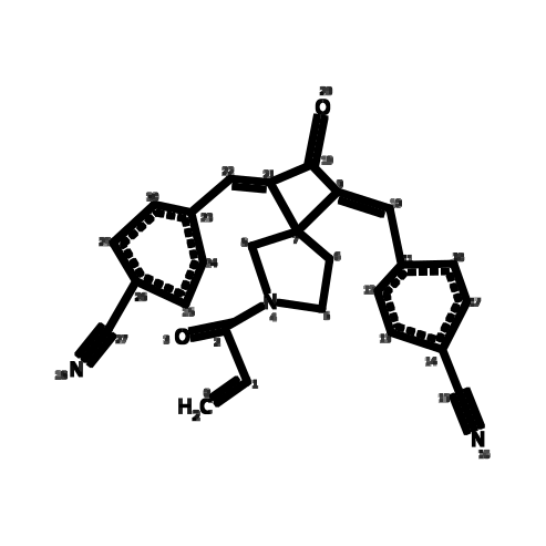 C=CC(=O)N1CCC2(C1)/C(=C\c1ccc(C#N)cc1)C(=O)/C2=C/c1ccc(C#N)cc1